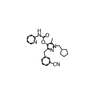 Cc1c(OC(=O)Nc2ccccn2)c(Cc2cccc(C#N)c2)nn1CC1CCCC1